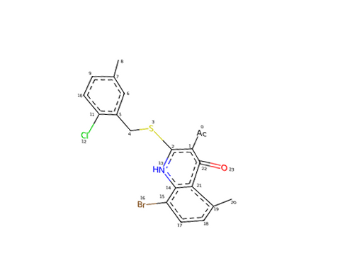 CC(=O)c1c(SCc2cc(C)ccc2Cl)[nH]c2c(Br)ccc(C)c2c1=O